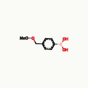 COOCc1ccc(B(O)O)cc1